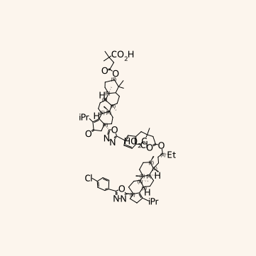 CC[C@H](CC[C@@]1(C)[C@H](C)CC[C@]2(C)[C@@H]1CC[C@@H]1C3=C(C(C)C)CC[C@]3(c3nnc(-c4ccc(Cl)cc4)o3)CC[C@]12C)OC(=O)CC(C)(Cc1cc(-c2nnc([C@@]34CC[C@]5(C)[C@H](CC[C@@H]6[C@@]7(C)CC[C@H](OC(=O)CC(C)(C)C(=O)O)C(C)(C)C7CC[C@]65C)C3=C(C(C)C)C(=O)C4)o2)ccc1Cl)C(=O)O